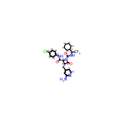 Nc1cc(C[C@@H]2C(=O)N(C(=O)NC(C3CCCCC3)C(F)(F)F)[C@@H]2C(=O)Nc2ccc(Cl)cc2)ccn1